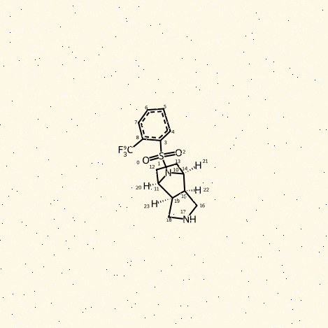 O=S(=O)(c1ccccc1C(F)(F)F)N1[C@@H]2CC[C@H]1[C@H]1CNC[C@H]12